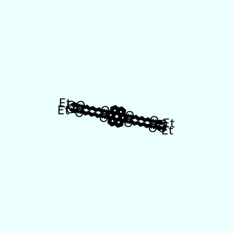 CCO/C=C/OCCCCCCCOc1c(OCCCCCCCO/C=C/OCC)c2ccc3ccc4c(OCCCCCCCO/C=C/OCC)c(OCCCCCCCO/C=C/OCC)c5ccc6ccc1c1c6c5c4c3c21